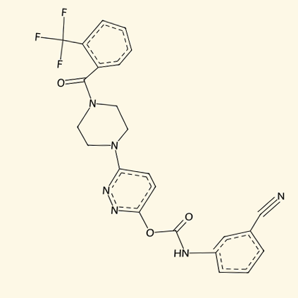 N#Cc1cccc(NC(=O)Oc2ccc(N3CCN(C(=O)c4ccccc4C(F)(F)F)CC3)nn2)c1